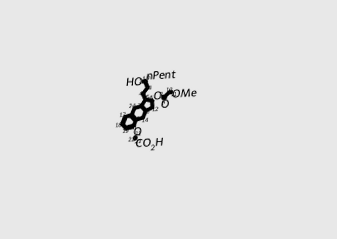 CCCCCC(O)CCC1C(OC(=O)COC)CC2Cc3c(cccc3OCC(=O)O)CC21